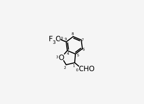 O=CC1COc2c1cccc2C(F)(F)F